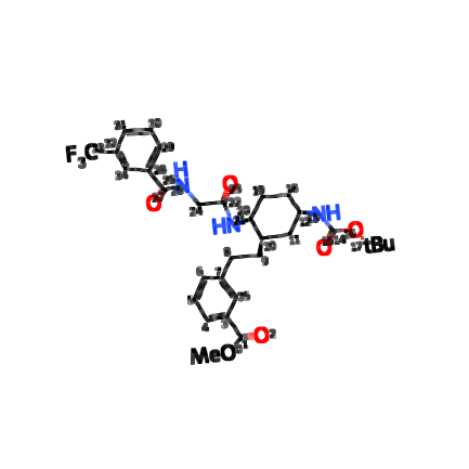 COC(=O)c1cccc(CC[C@@H]2C[C@H](NC(=O)OC(C)(C)C)CC[C@@H]2NC(=O)CNC(=O)c2cccc(C(F)(F)F)c2)c1